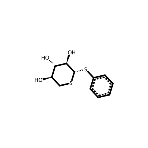 O[C@@H]1[C@@H](O)[C@H](Sc2ccccc2)SC[C@H]1O